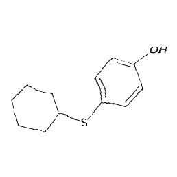 Oc1ccc(SC2CCCCC2)cc1